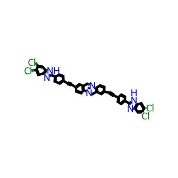 Clc1cc2nc(-c3ccc(C#Cc4ccc5c(c4)CN4CN5Cc5cc(C#Cc6ccc(-c7nc8cc(Cl)c(Cl)cc8[nH]7)cc6)ccc54)cc3)[nH]c2cc1Cl